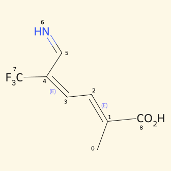 C/C(=C\C=C(/C=N)C(F)(F)F)C(=O)O